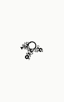 Cc1nc2cccc(F)c2nc1O[C@@H]1C[C@H]2C(=O)N[C@]3(C(=O)NS(=O)(=O)C4CC4)C[C@H]3C=CCCCCC[C@H](NC(=O)c3ccncc3F)C(=O)N2C1